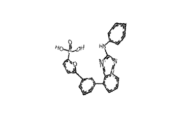 O=P(O)(O)c1ccc(-c2cccc(-c3cccn4nc(Nc5ccccc5)nc34)c2)o1